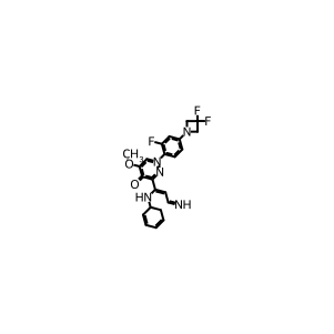 COc1cn(-c2ccc(N3CC(F)(F)C3)cc2F)nc(/C(=C/C=N)NC2C=CC=CC2)c1=O